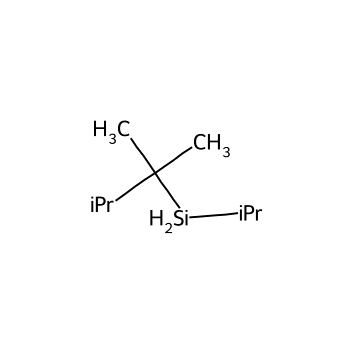 CC(C)[SiH2]C(C)(C)C(C)C